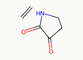 C=C.O=C1CCNC1=O